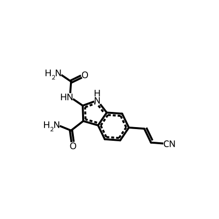 N#C/C=C/c1ccc2c(C(N)=O)c(NC(N)=O)[nH]c2c1